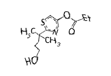 CCC(=O)Oc1csc(C(C)(C)CCO)n1